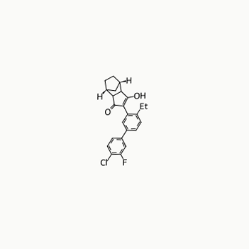 CCc1ccc(-c2ccc(Cl)c(F)c2)cc1C1=C(O)C2C(C1=O)[C@@H]1CC[C@H]2C1